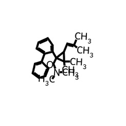 CC(C)=CC1C(C)(C)C1(C(=O)N(C)C)c1ccccc1-c1ccccc1